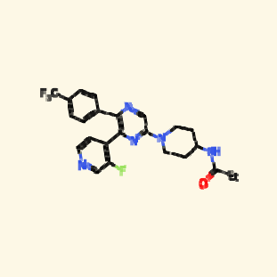 CCC(=O)NC1CCN(c2cnc(-c3ccc(C(F)(F)F)cc3)c(-c3ccncc3F)n2)CC1